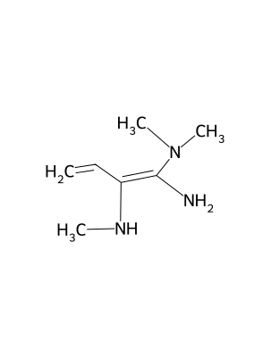 C=C/C(NC)=C(/N)N(C)C